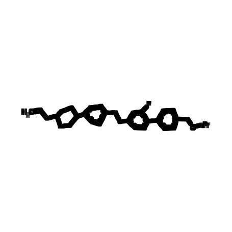 C=CCC1CCC(c2ccc(CCc3ccc(-c4ccc(COCCC)cc4)c(F)c3)cc2)CC1